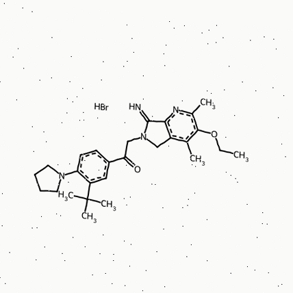 Br.CCOc1c(C)nc2c(c1C)CN(CC(=O)c1ccc(N3CCCC3)c(C(C)(C)C)c1)C2=N